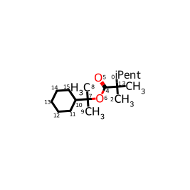 CCCC(C)C(C)(C)C(=O)OC(C)(C)C1CCCCC1